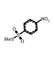 CSS(=O)(=O)c1ccc([N+](=O)[O-])cc1